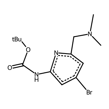 CN(C)Cc1cc(Br)cc(NC(=O)OC(C)(C)C)n1